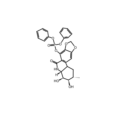 C[C@H]1CC2c3cc4c(c(OP(=O)(Oc5ccccc5)Oc5ccccc5)c3C(=O)N[C@H]2[C@H](O)[C@@H]1O)OCO4